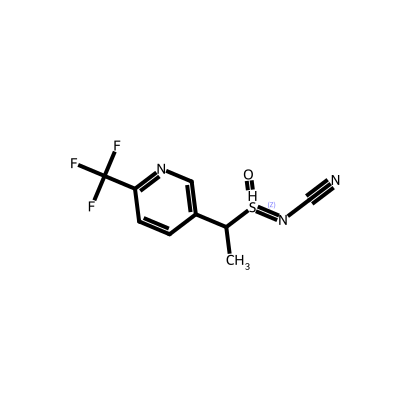 CC(c1ccc(C(F)(F)F)nc1)/[SH](=O)=N/C#N